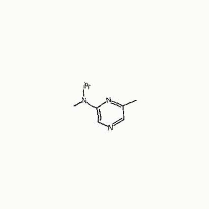 Cc1cncc(N(C)C(C)C)n1